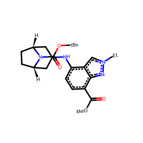 CCn1cc2c(NC3C[C@H]4CC[C@@H](C3)N4C(=O)OC(C)(C)C)ccc(C(=O)OC)c2n1